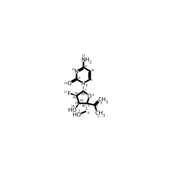 C=C(C)[C@]1(CO)O[C@@H](n2ccc(N)nc2=O)[C@H](F)[C@@H]1O